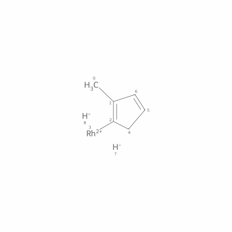 CC1=[C]([Rh+2])CC=C1.[H-].[H-]